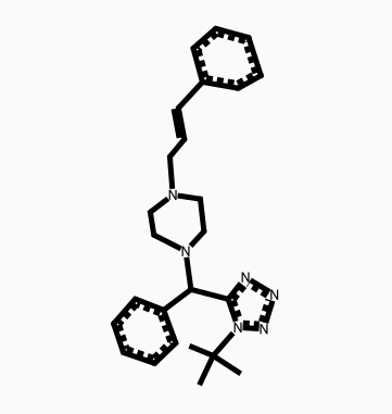 CC(C)(C)n1nnnc1C(c1ccccc1)N1CCN(C/C=C/c2ccccc2)CC1